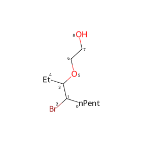 CCCCCC(Br)C(CC)OCCO